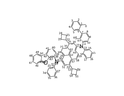 Cc1ccccc1-c1cccc(N(c2ccccc2)c2cc(C3CCC3)c3ccc4c(N(c5ccccc5)c5cccc6c5oc5ccccc56)cc(C5CCC5)c5ccc2c3c54)c1C